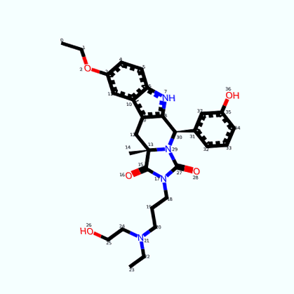 CCOc1ccc2[nH]c3c(c2c1)C[C@@]1(C)C(=O)N(CCCN(CC)CCO)C(=O)N1[C@@H]3c1cccc(O)c1